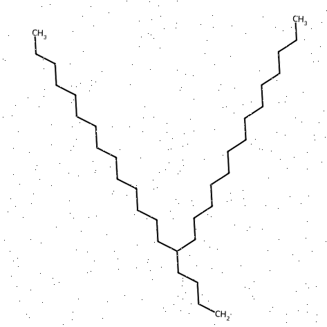 [CH2]CCCC(CCCCCCCCCCCCCC)CCCCCCCCCCCCCC